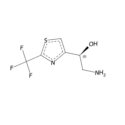 NC[C@H](O)c1csc(C(F)(F)F)n1